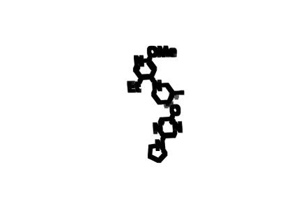 CCc1cnc(OC)cc1N1CC[C@@H](Oc2cnc(N3CCCC3)cn2)[C@H](C)C1